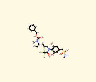 CNS(=O)(=O)Cc1cc(Br)c(N(CC=CC2CCCN2C(=O)OCc2ccccc2)C(=O)C(F)(F)F)c(Br)c1